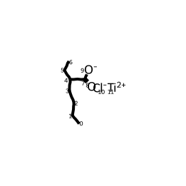 CCCCC(CC)C(=O)[O-].[Cl-].[Ti+2]